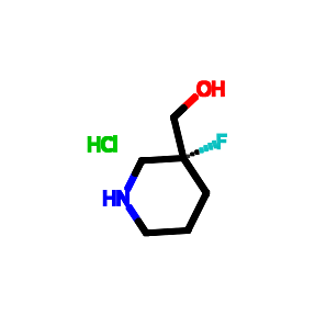 Cl.OC[C@@]1(F)CCCNC1